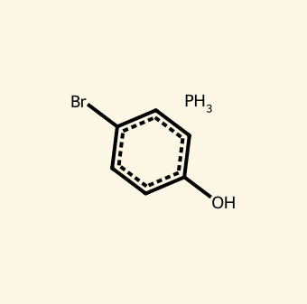 Oc1ccc(Br)cc1.P